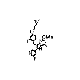 COc1nc(C)c2nc(-c3cncc(F)c3)n(Cc3ccc(OCCCN(C)C)cc3F)c2n1